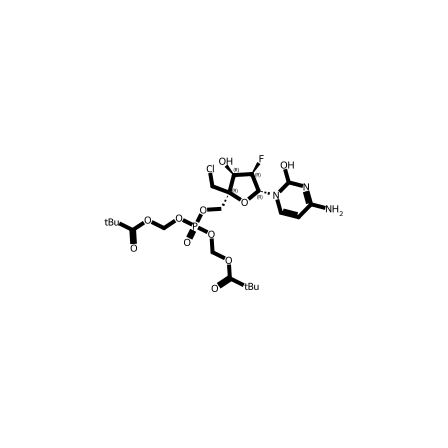 CC(C)(C)C(=O)OCOP(=O)(OCOC(=O)C(C)(C)C)OC[C@@]1(CCl)O[C@@H](N2C=CC(N)=NC2O)[C@H](F)[C@@H]1O